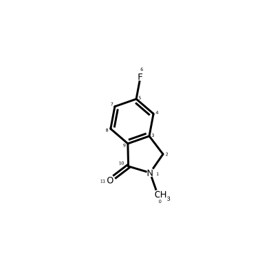 CN1Cc2cc(F)ccc2C1=O